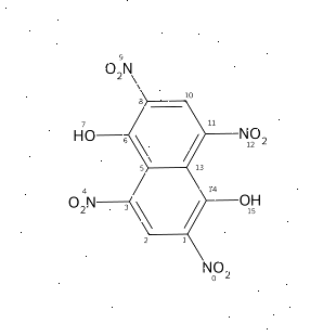 O=[N+]([O-])c1cc([N+](=O)[O-])c2c(O)c([N+](=O)[O-])cc([N+](=O)[O-])c2c1O